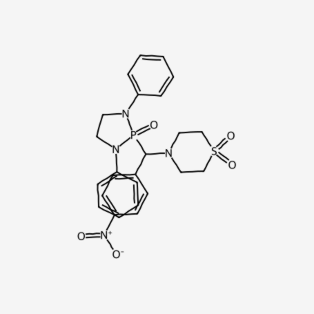 O=[N+]([O-])c1ccc(C(N2CCS(=O)(=O)CC2)P2(=O)N(c3ccccc3)CCN2c2ccccc2)cc1